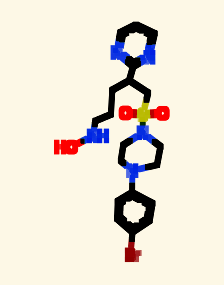 O=S(=O)(CC(CCCNO)c1ncccn1)N1CCN(c2ccc(Br)cc2)CC1